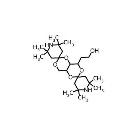 CC1(C)CC2(CC(C)(C)N1)OC(CCO)C1OC3(CC(C)(C)NC(C)(C)C3)OCC1O2